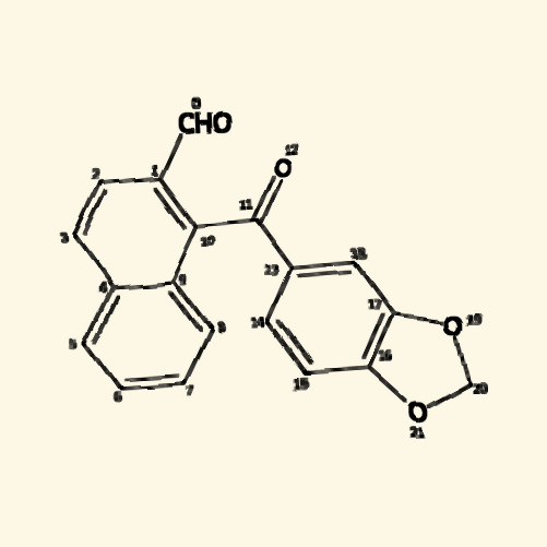 O=Cc1ccc2ccccc2c1C(=O)c1ccc2c(c1)OCO2